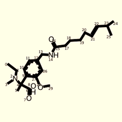 CCN(C)C(C)(C(=O)O)c1ccc(CNC(=O)CCCCC=CC(C)C)cc1OC